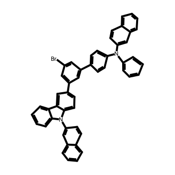 Brc1cc(-c2ccc(N(c3ccccc3)c3ccc4ccccc4c3)cc2)cc(-c2ccc3c(c2)c2ccccc2n3-c2ccc3ccccc3c2)c1